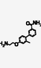 Cc1cc(OCCN)ccc1-c1cccc(C(N)=O)c1